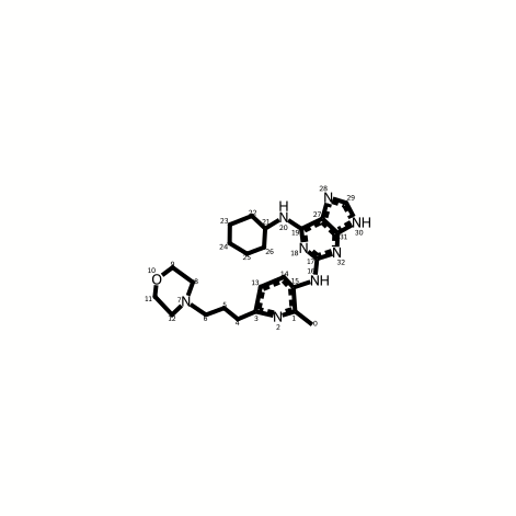 Cc1nc(CCCN2CCOCC2)ccc1Nc1nc(NC2CCCCC2)c2nc[nH]c2n1